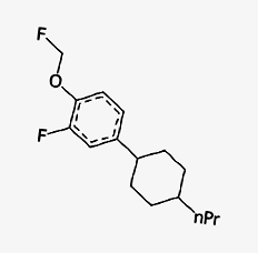 CCCC1CCC(c2ccc(OCF)c(F)c2)CC1